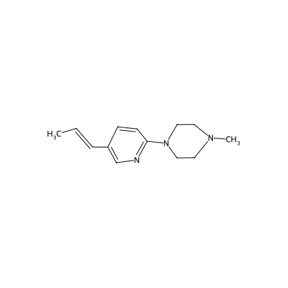 C/C=C/c1ccc(N2CCN(C)CC2)nc1